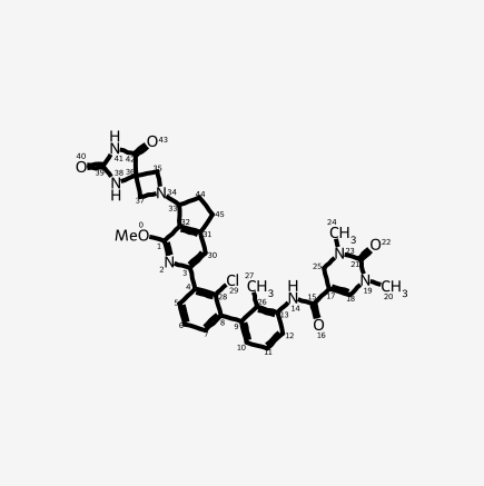 COc1nc(-c2cccc(-c3cccc(NC(=O)C4=CN(C)C(=O)N(C)C4)c3C)c2Cl)cc2c1C(N1CC3(C1)NC(=O)NC3=O)CC2